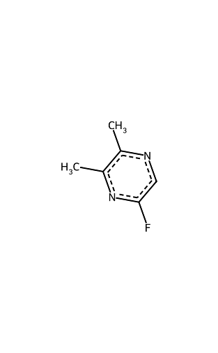 Cc1ncc(F)nc1C